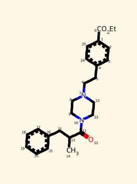 CCOC(=O)c1ccc(CCN2CCN(C(=O)C(C)Cc3ccccc3)CC2)cc1